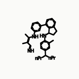 CCCC(CCC)c1ccc(NC2CCc3cccc(-c4cccc(N/C(C)=C(/C)C=N)c4)c32)c(C)c1